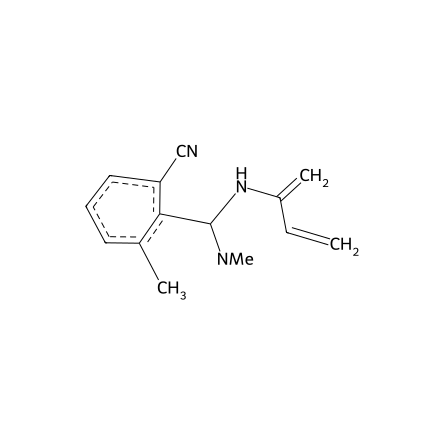 C=CC(=C)NC(NC)c1c(C)cccc1C#N